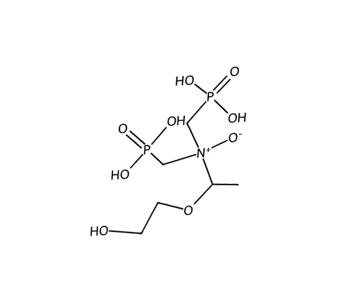 CC(OCCO)[N+]([O-])(CP(=O)(O)O)CP(=O)(O)O